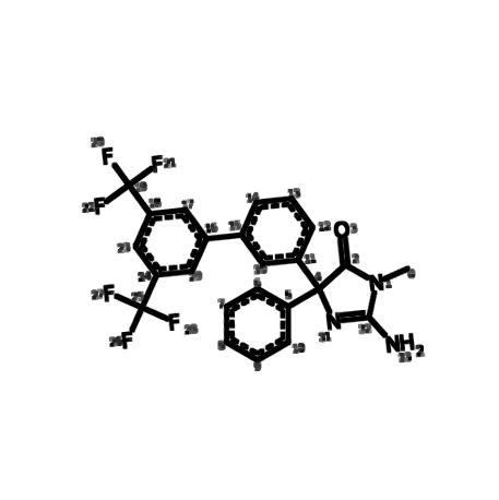 CN1C(=O)C(c2ccccc2)(c2cccc(-c3cc(C(F)(F)F)cc(C(F)(F)F)c3)c2)N=C1N